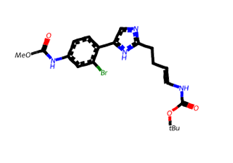 COC(=O)Nc1ccc(-c2cnc(CCC=CNC(=O)OC(C)(C)C)[nH]2)c(Br)c1